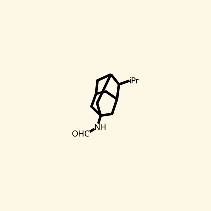 CC(C)C1C2CC3CC1CC(NC=O)(C3)C2